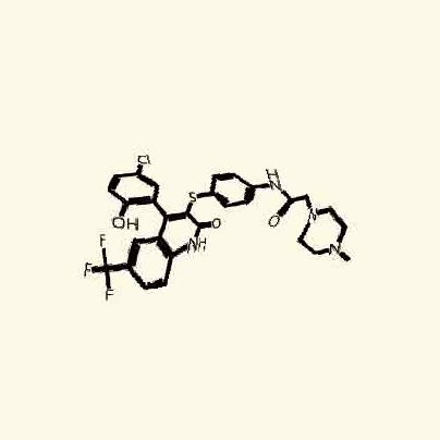 CN1CCN(CC(=O)Nc2ccc(Sc3c(-c4cc(Cl)ccc4O)c4cc(C(F)(F)F)ccc4[nH]c3=O)cc2)CC1